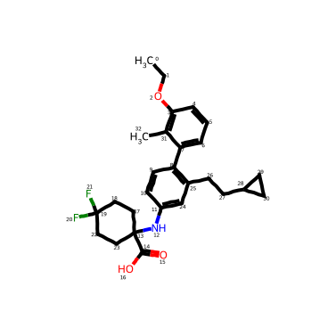 CCOc1cccc(-c2ccc(NC3(C(=O)O)CCC(F)(F)CC3)cc2CCC2CC2)c1C